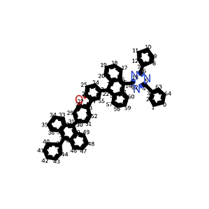 c1ccc(-c2nc(-c3ccccc3)nc(-c3c4ccccc4c(-c4ccc5oc6cc(-c7c8ccccc8c(-c8ccccc8)c8ccccc78)ccc6c5c4)c4ccccc34)n2)cc1